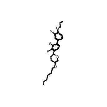 CCCCCCOC1CCC(c2ccc(-c3ccc(OCCC)c(F)c3)c(F)c2F)OC1